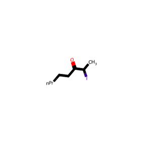 CCCCCC(=O)C(C)I